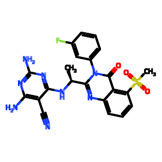 C[C@H](Nc1nc(N)nc(N)c1C#N)c1nc2cccc(S(C)(=O)=O)c2c(=O)n1-c1cccc(F)c1